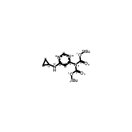 CC(C)(C)OC(=O)N(C(=O)OC(C)(C)C)c1cc(NC2CC2)ncn1